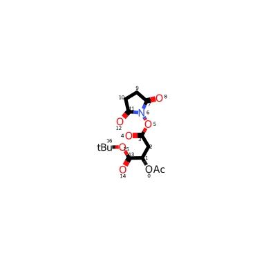 CC(=O)OC(CC(=O)ON1C(=O)CCC1=O)C(=O)OC(C)(C)C